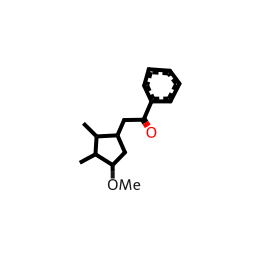 COC1CC(CC(=O)c2ccccc2)C(C)C1C